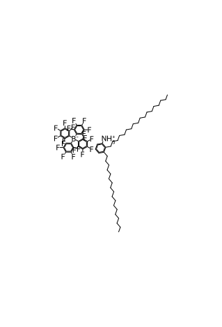 CCCCCCCCCCCCCCCCCCc1cccc([NH3+])c1CCCCCCCCCCCCCCCCCC.Fc1c(F)c(F)c([B-](c2c(F)c(F)c(F)c(F)c2F)(c2c(F)c(F)c(F)c(F)c2F)c2c(F)c(F)c(F)c(F)c2F)c(F)c1F